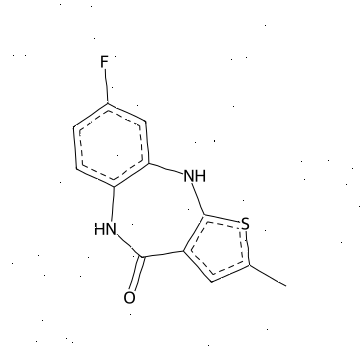 Cc1cc2c(s1)Nc1cc(F)ccc1NC2=O